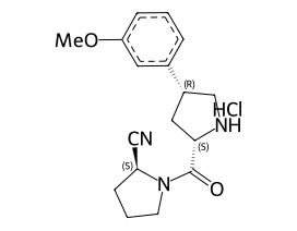 COc1cccc([C@@H]2CN[C@H](C(=O)N3CCC[C@H]3C#N)C2)c1.Cl